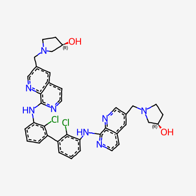 O[C@@H]1CCN(Cc2cnc3c(Nc4cccc(-c5cccc(Nc6nccc7cc(CN8CC[C@@H](O)C8)cnc67)c5Cl)c4Cl)nccc3c2)C1